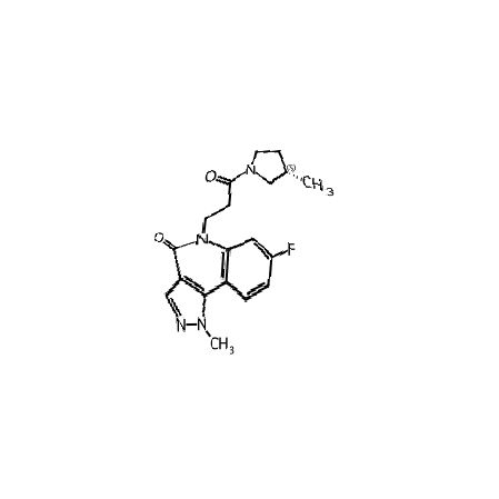 C[C@H]1CCN(C(=O)CCn2c(=O)c3cnn(C)c3c3ccc(F)cc32)C1